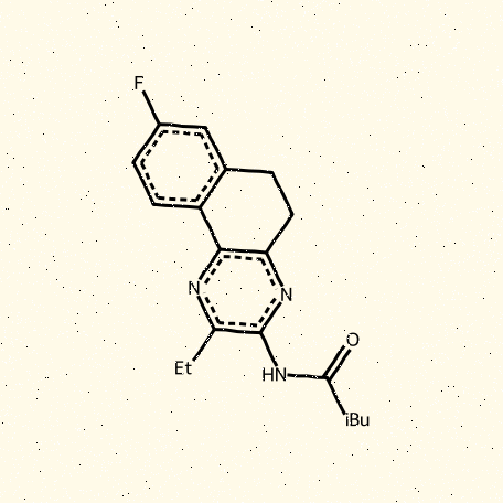 CCc1nc2c(nc1NC(=O)C(C)CC)CCc1cc(F)ccc1-2